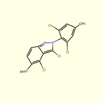 COc1ccc2nn(-c3c(Cl)cc(OC(C)=O)cc3Cl)c(Cl)c2c1Cl